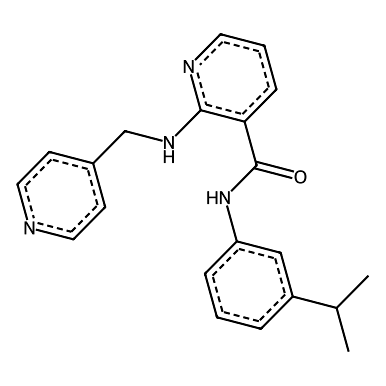 CC(C)c1cccc(NC(=O)c2cccnc2NCc2ccncc2)c1